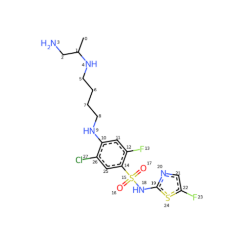 CC(CN)NCCCCNc1cc(F)c(S(=O)(=O)Nc2ncc(F)s2)cc1Cl